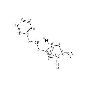 N#C[C@H]1C[C@H]2O[C@@H]1C=C2COCc1ccccc1